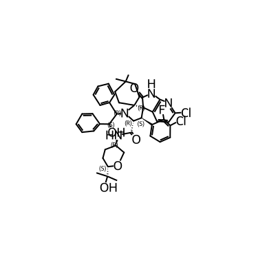 CC1(C)CCC2(CC1)N([C@H](c1ccccc1)[C@@H](O)c1ccccc1)[C@@H](C(=O)N[C@@H]1CC[C@@H](C(C)(C)O)OC1)[C@H](c1cccc(Cl)c1F)[C@]21C(=O)Nc2nc(Cl)ccc21